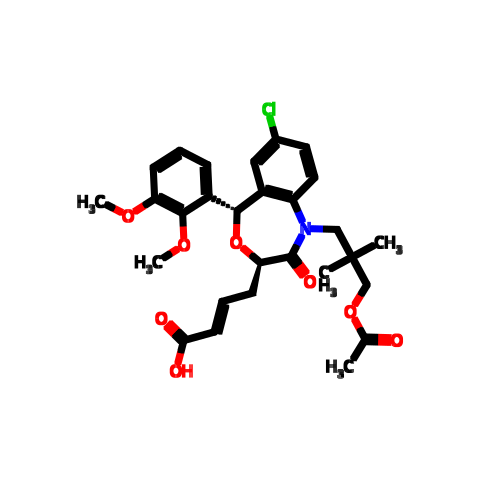 COc1cccc([C@H]2O[C@H](C/C=C/C(=O)O)C(=O)N(CC(C)(C)COC(C)=O)c3ccc(Cl)cc32)c1OC